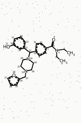 CCN(CC)C(=O)c1ccc(C(c2cccc(O)c2)N2CCN(Cc3ccco3)CC2)cc1